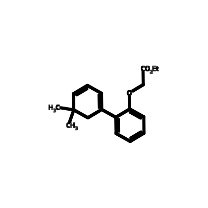 CCOC(=O)COc1ccccc1C1=CC=CC(C)(C)C1